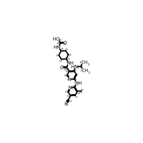 CC(C)Nc1cc(Nc2ncc(C#N)cc2F)ncc1C(=O)NC1CCC(NC(=O)O)CC1